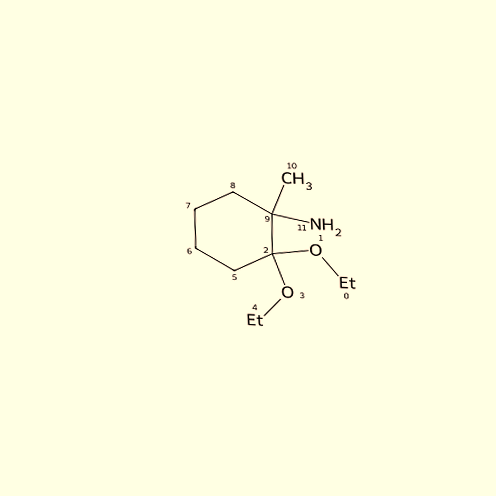 CCOC1(OCC)CCCCC1(C)N